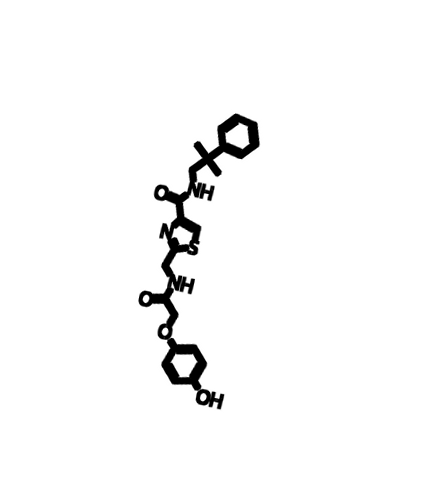 CC(C)(CNC(=O)c1csc(CNC(=O)COc2ccc(O)cc2)n1)c1ccccc1